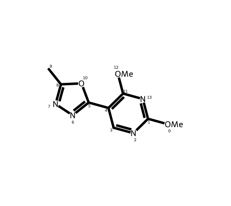 COc1ncc(-c2nnc(C)o2)c(OC)n1